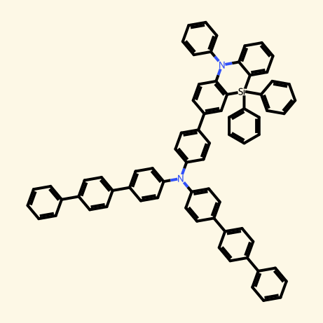 c1ccc(-c2ccc(-c3ccc(N(c4ccc(-c5ccc(-c6ccccc6)cc5)cc4)c4ccc(-c5ccc6c(c5)[Si](c5ccccc5)(c5ccccc5)c5ccccc5N6c5ccccc5)cc4)cc3)cc2)cc1